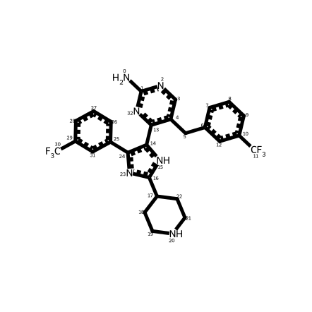 Nc1ncc(Cc2cccc(C(F)(F)F)c2)c(-c2[nH]c(C3CCNCC3)nc2-c2cccc(C(F)(F)F)c2)n1